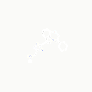 CCNCc1nc(-c2cn3c4c(cccc24)OC[C@H]3C2CCCCC2)ns1